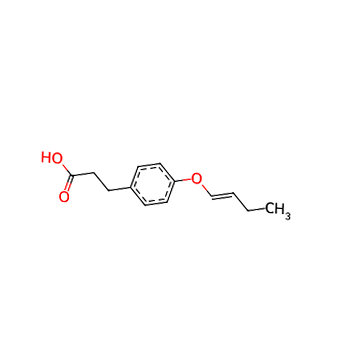 CCC=COc1ccc(CCC(=O)O)cc1